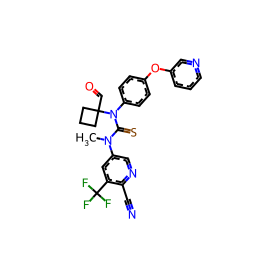 CN(C(=S)N(c1ccc(Oc2cccnc2)cc1)C1(C=O)CCC1)c1cnc(C#N)c(C(F)(F)F)c1